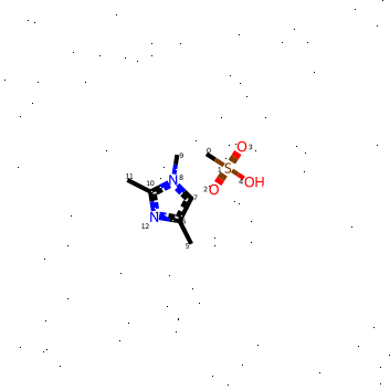 CS(=O)(=O)O.Cc1cn(C)c(C)n1